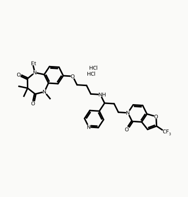 CCN1C(=O)C(C)(C)C(=O)N(C)c2cc(OCCCNC(CCn3ccc4oc(C(F)(F)F)cc4c3=O)c3ccncc3)ccc21.Cl.Cl